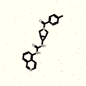 Cc1ccc(C(=O)N2CC3C(C2)C3NC(=O)Nc2cccc3cnccc23)cc1